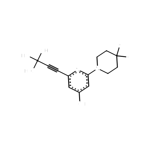 Cc1cc(C#CC(C)(C)O)nc(N2CCC(F)(F)CC2)c1